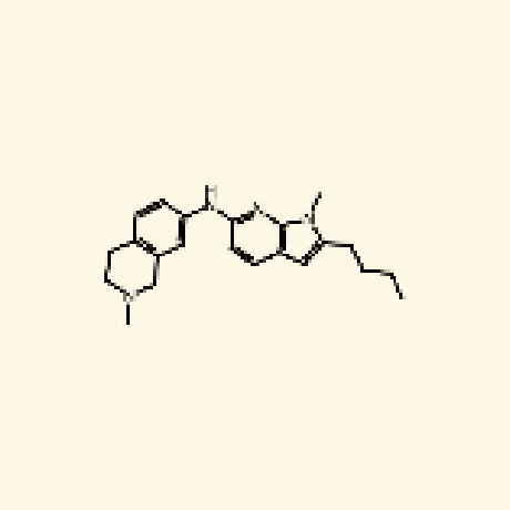 CCCCc1cc2ccc(Nc3ccc4c(c3)CN(C)CC4)nc2n1C